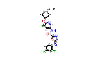 O=C(Nc1cnc(O[C@H]2CC[C@@H](C(=O)O)CC2)c(Cl)c1)c1nnc(Nc2ccc(Cl)cc2Cl)o1